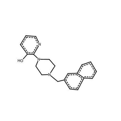 Oc1cccnc1N1CCN(Cc2ccc3ccccc3c2)CC1